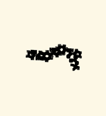 CC(C)(C)OC(=O)N1CCC[C@H]1C(=O)Nc1ccc2[nH]c(-c3ccc4[nH]c([C@@H]5CCCN5)nc4c3)cc2c1